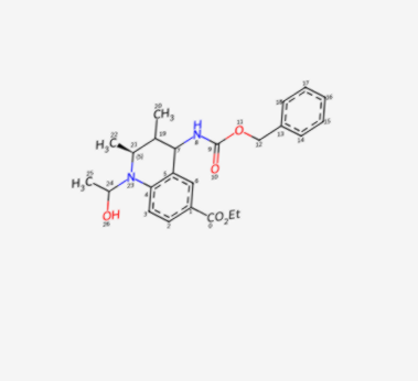 CCOC(=O)c1ccc2c(c1)C(NC(=O)OCc1ccccc1)C(C)[C@H](C)N2C(C)O